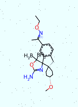 BC1(B)OC(N)=NC12c1cc(/C(C)=N/OCC)ccc1C[C@]21CC[C@@H](OC)CC1